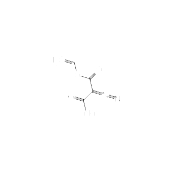 C=COC(=O)C(=[N+]=[N-])C(=O)CCC